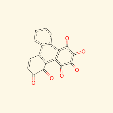 O=C1C=Cc2c(c3c(=O)c(=O)c(=O)c(=O)c3c3ccccc23)C1=O